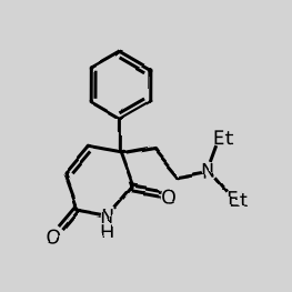 CCN(CC)CCC1(c2ccccc2)C=CC(=O)NC1=O